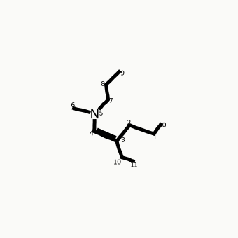 CCC/C(=C\N(C)CCC)CC